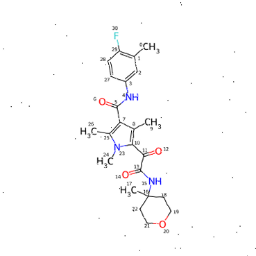 Cc1cc(NC(=O)c2c(C)c(C(=O)C(=O)NC3(C)CCOCC3)n(C)c2C)ccc1F